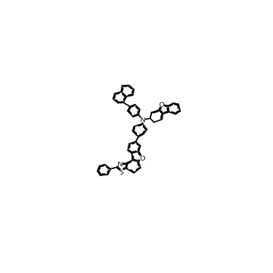 C1=c2oc3ccccc3c2=CCC1N(c1ccc(-c2ccc3c(c2)oc2ccc4sc(-c5ccccc5)nc4c23)cc1)c1ccc(-c2cccc3ccccc23)cc1